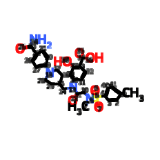 Cc1ccc(S(=O)(=O)N(C)CC(=O)N(CC2CCN(c3ccc(C(N)=O)cc3)CC2)c2ccc(C(=O)O)c(O)c2)cc1